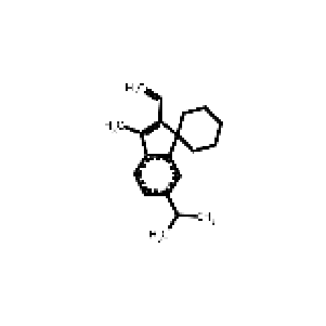 C=CC1=C(C)c2ccc(C(C)C)cc2C12CCCCC2